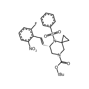 CC(C)(C)OC(=O)N1C[C@H](C=Cc2c(F)cccc2[N+](=O)[O-])N(S(=O)(=O)c2ccccc2)C2(CC2)C1